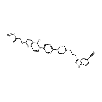 COC(=O)COc1ccc2c(=O)n(-c3ccc(N4CCN(CCCc5c[nH]c6ccc(C#N)cc56)CC4)cc3)ccc2n1